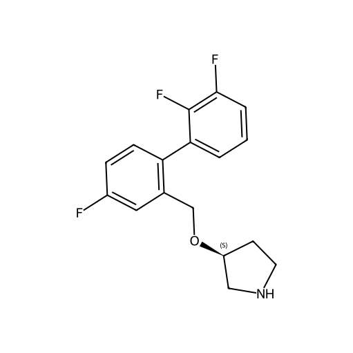 Fc1ccc(-c2cccc(F)c2F)c(CO[C@H]2CCNC2)c1